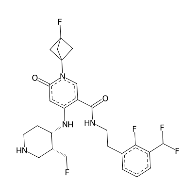 O=C(NCCc1cccc(C(F)F)c1F)c1cn(C23CC(F)(C2)C3)c(=O)cc1N[C@H]1CCNC[C@H]1CF